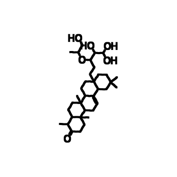 CC(CO)OC(CCC12CCC3C(=CCC4C3(C)CCC3C(C)C(=O)CCC34C)C1CC(C)(C)CC2)C(O)C(O)O